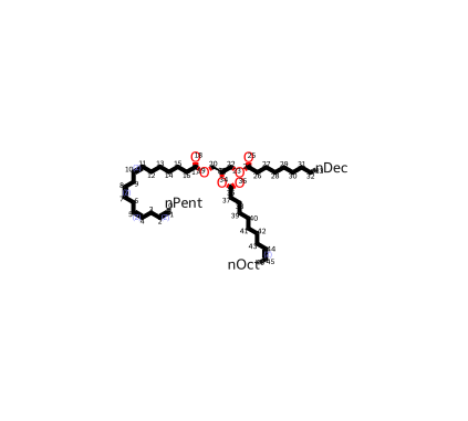 CCCCC/C=C\C/C=C\C/C=C\C/C=C\CCCCCC(=O)OC[C@@H](COC(=O)CCCCCCCCCCCCCCCCC)OC(=O)CCCCCCC/C=C\CCCCCCCC